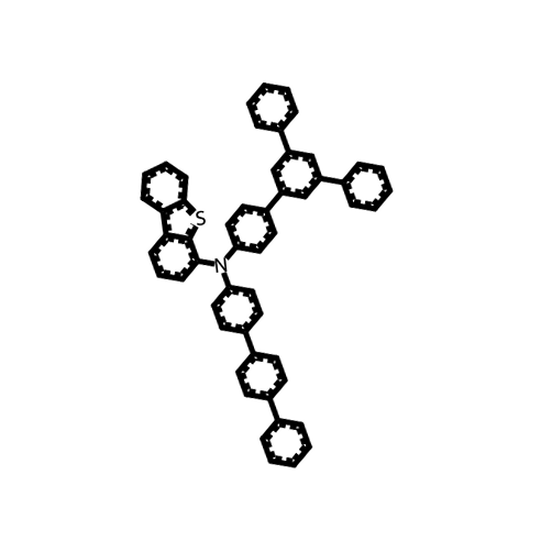 c1ccc(-c2ccc(-c3ccc(N(c4ccc(-c5cc(-c6ccccc6)cc(-c6ccccc6)c5)cc4)c4cccc5c4sc4ccccc45)cc3)cc2)cc1